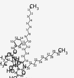 CCCCCCCCCCCCCCCCCC(=O)N(CCCCCCCCCCCC)[C@@H]1O[C@H](CO)[C@@H](O)[C@H](O)[C@H]1NC(=O)[C@@H](NC(=O)OCc1ccccc1)C(C)C